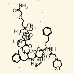 CC(C)C[C@H](NC(=O)[C@H](CCc1ccccc1)NC(=O)CN1CCOCC1)C(=O)N[C@@H](Cc1ccccc1)C(=O)N[C@@H](CC(C)C)C(=O)C(C)(O)COS(=O)(=O)C(C)(C)CCOCC(N)=O